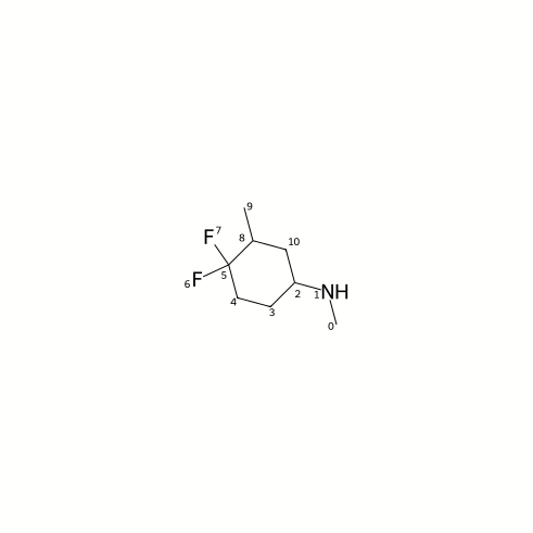 CNC1CCC(F)(F)C(C)C1